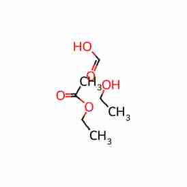 CCO.CCOC(C)=O.O=CO